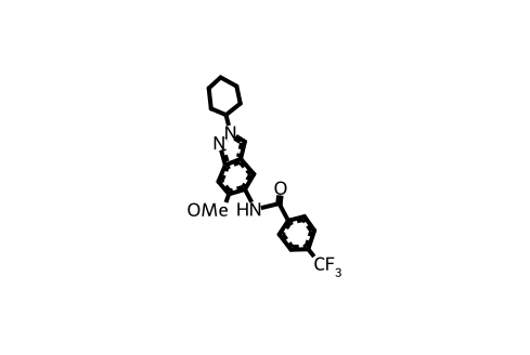 COc1cc2nn(C3CCCCC3)cc2cc1NC(=O)c1ccc(C(F)(F)F)cc1